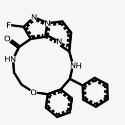 O=C1NCCOc2ccccc2C(c2ccccc2)Nc2ccn3nc(F)c1c3n2